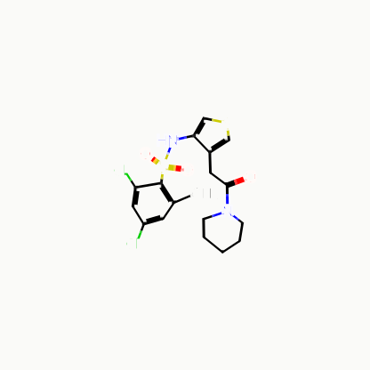 Cc1cc(Cl)cc(Cl)c1S(=O)(=O)Nc1cscc1CC(=O)N1CCCCC1